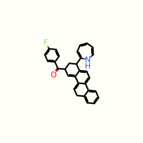 O=C(c1ccc(F)cc1)C1C=c2c(ccc3c2=CCc2ccccc2-3)C(C2=CC=CC=CN2)C1